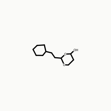 OC1CCOC(CCC2CCCCC2)O1